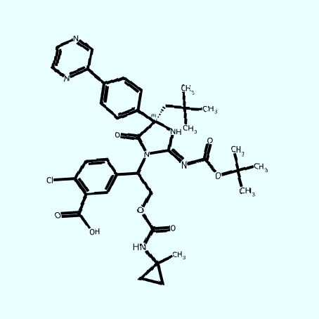 CC(C)(C)C[C@]1(c2ccc(-c3cnccn3)cc2)NC(=NC(=O)OC(C)(C)C)N(C(COC(=O)NC2(C)CC2)c2ccc(Cl)c(C(=O)O)c2)C1=O